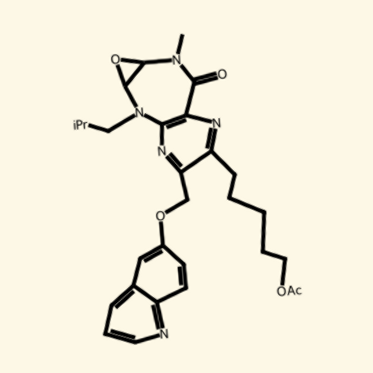 CC(=O)OCCCCCc1nc2c(nc1COc1ccc3ncccc3c1)N(CC(C)C)C1OC1N(C)C2=O